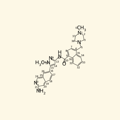 CN1CCN(Cc2ccc(C(=O)Nc3cc(-c4ccc5cc(N)ncc5c4)n(C)n3)c3ccccc23)CC1